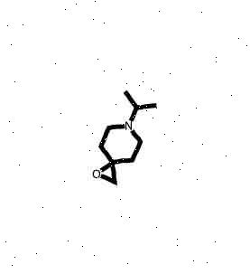 CC(C)N1CCC2(CC1)CO2